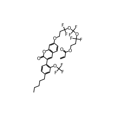 C=CC(=O)OCCC(F)(F)OC(F)(F)OC(F)(F)CCOc1ccc2cc(-c3ccc(CCCCC)cc3OC(F)(F)F)c(=O)oc2c1